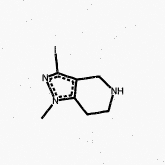 Cn1nc(I)c2c1CCNC2